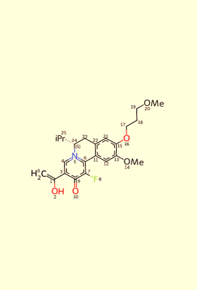 C=C(O)c1cn2c(c(F)c1=O)-c1cc(OC)c(OCCCOC)cc1C[C@H]2C(C)C